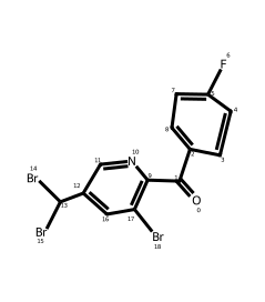 O=C(c1ccc(F)cc1)c1ncc(C(Br)Br)cc1Br